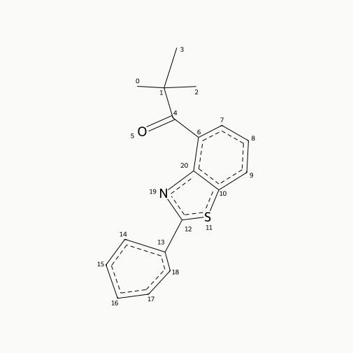 CC(C)(C)C(=O)c1cccc2sc(-c3ccccc3)nc12